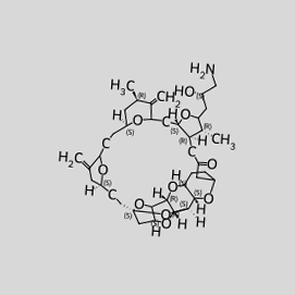 C=C1C[C@@H]2CC[C@@]34C[C@@H]5O[C@H]6[C@@H](O3)[C@H]3OC(CC[C@@H]3O[C@H]6C5O4)CC(=O)C[C@H]3[C@H](CC4O[C@@H](CCC1O2)C[C@@H](C)C4=C)OC(C[C@H](O)CN)[C@@H]3C